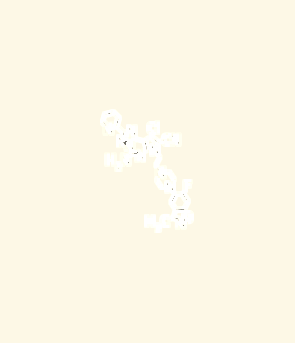 Cc1noc2cc(F)c(N3CCN(CCn4c(C#N)c(Cl)c5c4nc(N)n4nc(-c6ccccn6)nc54)CC3)cc12